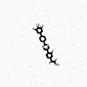 CCC/C(F)=C(\F)c1ccc(-c2cnc(C3CCC(c4cc(F)c(C(F)(F)F)c(F)c4)CC3)nc2)c(F)c1